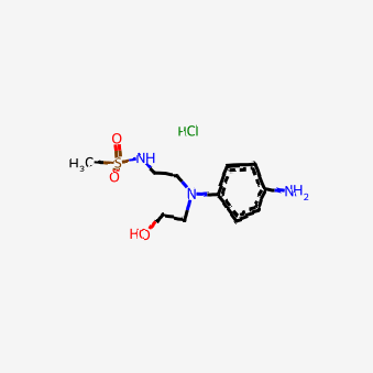 CS(=O)(=O)NCCN(CCO)c1ccc(N)cc1.Cl